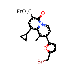 CCOC(=O)c1cc(C2CC2)c2c(C)c(-c3ccc(CBr)o3)ccn2c1=O